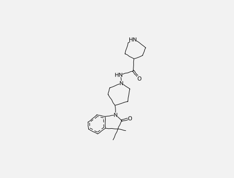 CC1(C)C(=O)N(C2CCN(NC(=O)C3CCNCC3)CC2)c2ccccc21